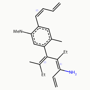 C=C/C=C\c1cc(C)c(C(=C(\C)CC)/C(CC)=C(/N)C=C)cc1NC